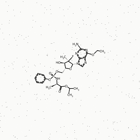 CCOc1nc(N)nc2c1ncn2[C@@H]1O[C@H](COP(=O)(N[C@H](C)C(=O)OC(C)C)Oc2ccccc2)[C@@H](O)[C@@]1(C)F